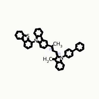 C=c1/c(=C\C=C(/C)c2ccc3c(c2)c2ccccc2n3-c2cccc3c2sc2ccccc23)n(-c2ccc(-c3ccccc3)cc2)c2ccccc12